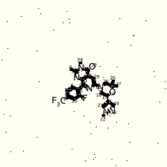 Cc1nc2c(-c3ccc(C(F)(F)F)cc3F)nc(N3C[C@H](c4cnn(C)c4)OC(C)(C)C3)cc2c(=O)n1C